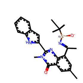 CC(=N[S@+]([O-])C(C)(C)C)c1cc(C)cc2c(=O)n(C)c(-c3cc4ccccc4[nH]3)nc12